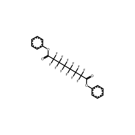 O=C(Oc1ccccc1)C(F)(F)C(F)(F)C(F)(F)C(F)(F)C(F)(F)C(F)(F)C(=O)Oc1ccccc1